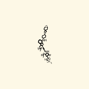 CNC(=O)c1cc(OC(F)F)c(NCC#Cc2sc3c(NC4CCC(N5CC6(CCOCC6)C5)CC4)cccc3c2CC(F)(F)F)cc1F